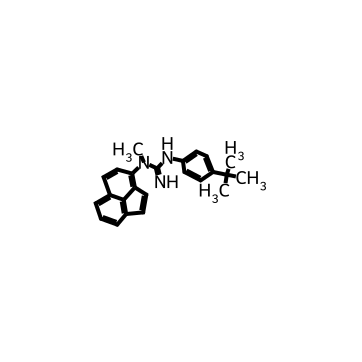 CN(C(=N)Nc1ccc(C(C)(C)C)cc1)c1ccc2cccc3c2c1C=C3